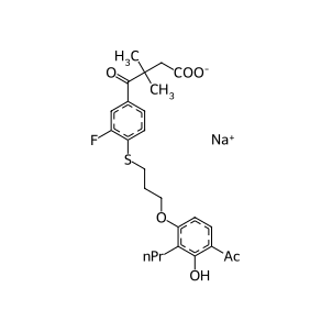 CCCc1c(OCCCSc2ccc(C(=O)C(C)(C)CC(=O)[O-])cc2F)ccc(C(C)=O)c1O.[Na+]